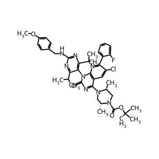 COc1ccc(CNc2nc(C(C)C)c(-n3c(=O)nc(N4C[C@@H](C)N(C(=O)OC(C)(C)C)C[C@@H]4C)c4cc(Cl)c(-c5ccccc5F)nc43)c(C(C)C)n2)cc1